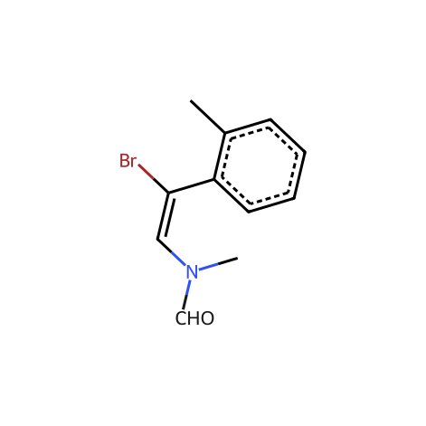 Cc1ccccc1/C(Br)=C\N(C)C=O